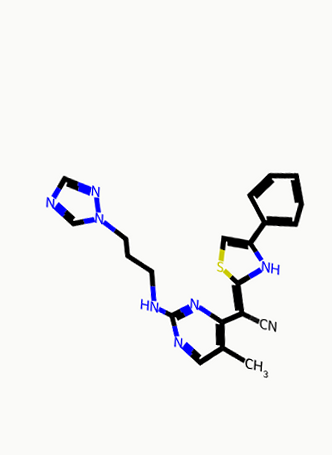 Cc1cnc(NCCCn2cncn2)nc1/C(C#N)=C1/NC(c2ccccc2)=CS1